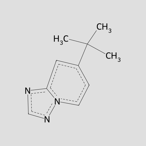 CC(C)(C)c1ccn2ncnc2c1